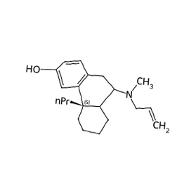 C=CCN(C)C1Cc2ccc(O)cc2[C@@]2(CCC)CCCCC12